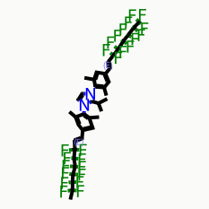 Cc1cc(/C=C/C(F)(F)C(F)(F)C(F)(F)C(F)(F)C(F)(F)C(C)(F)F)cc(C)c1N1C=CN(c2c(C)cc(/C=C/C(F)(F)C(F)(F)C(F)(F)C(F)(F)C(F)(F)C(F)(F)F)cc2C)C1C(C)C